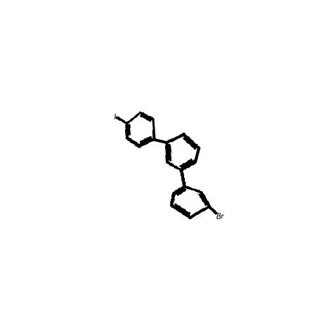 Brc1cccc(-c2cccc(-c3ccc(I)cc3)c2)c1